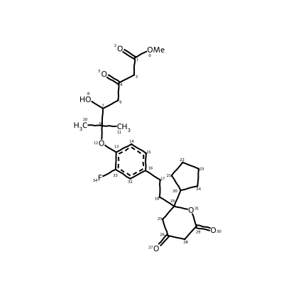 COC(=O)CC(=O)CC(O)C(C)(C)Oc1ccc(CCC2(C3CCCC3)CC(=O)CC(=O)O2)cc1F